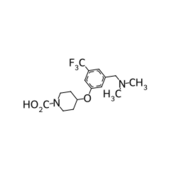 CN(C)Cc1cc(OC2CCN(C(=O)O)CC2)cc(C(F)(F)F)c1